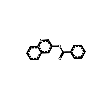 O=C(Oc1cnc2ccccc2c1)c1ccccc1